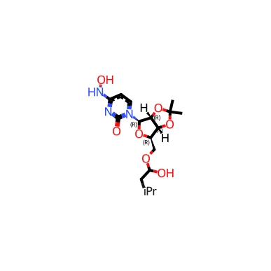 CC(C)CC(O)OC[C@H]1O[C@@H](n2ccc(NO)nc2=O)[C@@H]2OC(C)(C)O[C@@H]21